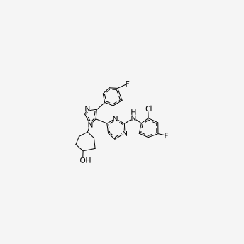 OC1CCC(n2cnc(-c3ccc(F)cc3)c2-c2ccnc(Nc3ccc(F)cc3Cl)n2)CC1